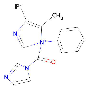 CC1=C(C(C)C)N=C[N+]1(C(=O)n1ccnc1)c1ccccc1